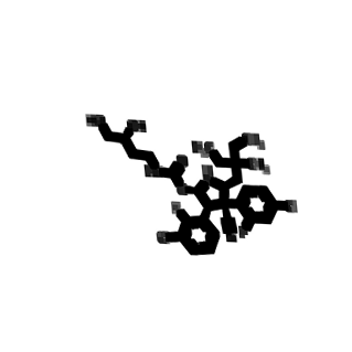 CCC(C)(CC)C[C@@H]1N[C@H](OC(=O)NCC[C@H](O)CO)[C@H](c2cccc(Cl)c2F)[C@@]1(C#N)c1ccc(Cl)cc1F